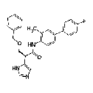 Cc1cc(-c2ccc(F)cc2)ccc1NC(=O)[C@H](COCc1ccccc1)c1cnc[nH]1